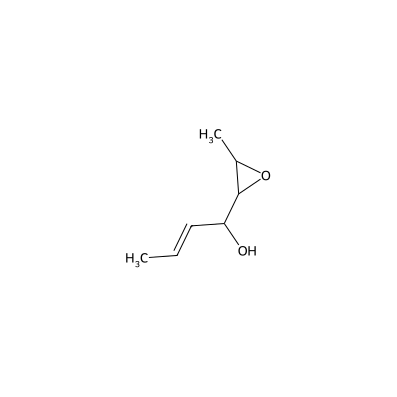 C/C=C/C(O)C1OC1C